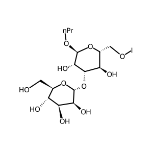 CCCO[C@H]1O[C@H](COI)[C@@H](O)[C@H](O[C@H]2O[C@H](CO)[C@@H](O)[C@H](O)[C@@H]2O)[C@@H]1O